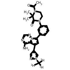 [2H]C([2H])([2H])n1cc(-c2cc(-c3cccc(N4CCN(C(C)=O)C(C)(C)C4=O)c3)n3ncnc(N)c23)cn1